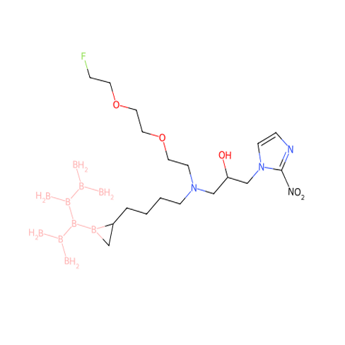 BB(B)B(B)B(B(B)B)B1CC1CCCCN(CCOCCOCCF)CC(O)Cn1ccnc1[N+](=O)[O-]